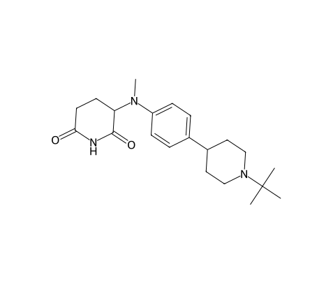 CN(c1ccc(C2CCN(C(C)(C)C)CC2)cc1)C1CCC(=O)NC1=O